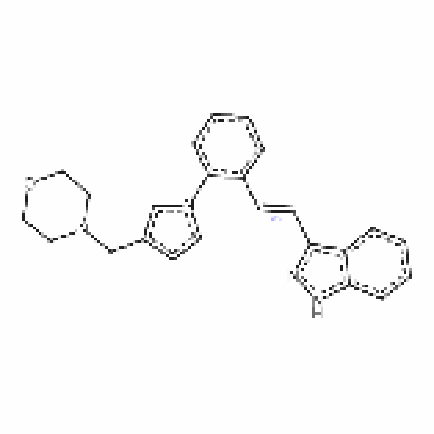 C(=C\c1n[nH]c2ccccc12)/c1ccccc1-n1ccc(CN2CCOCC2)c1